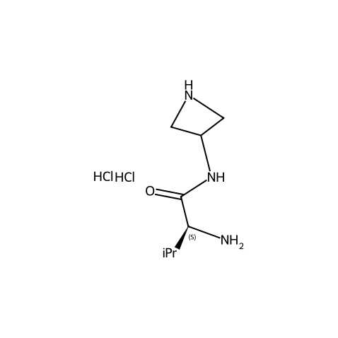 CC(C)[C@H](N)C(=O)NC1CNC1.Cl.Cl